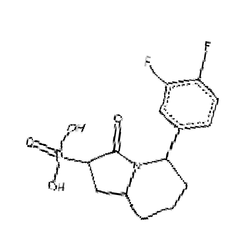 O=C1C(P(=O)(O)O)CC2CCCC(c3ccc(F)c(F)c3)N12